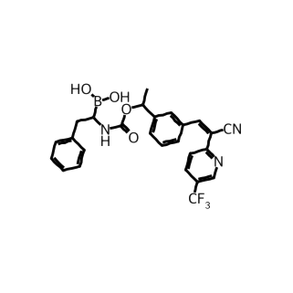 CC(OC(=O)NC(Cc1ccccc1)B(O)O)c1cccc(C=C(C#N)c2ccc(C(F)(F)F)cn2)c1